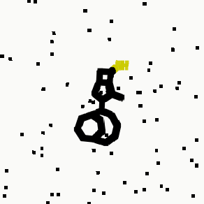 CC1=C2C(S)CC2CC1C1CCCCC2CCCC1CC2